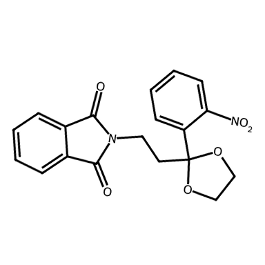 O=C1c2ccccc2C(=O)N1CCC1(c2ccccc2[N+](=O)[O-])OCCO1